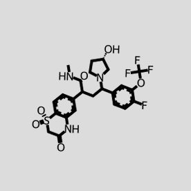 CNC(=O)C(CC(c1ccc(F)c(OC(F)(F)F)c1)N1CC[C@H](O)C1)c1ccc2c(c1)NC(=O)CS2(=O)=O